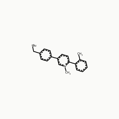 Cc1ccccc1-c1ccc(-c2ccc(CC(C)(C)C)cc2)c[n+]1C